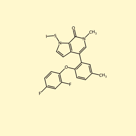 Cc1ccc(Oc2ccc(F)cc2F)c(-c2cn(C)c(=O)c3c2ccn3SI)c1